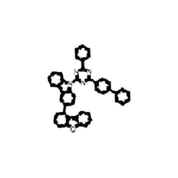 c1ccc(-c2ccc(-c3nc(-c4ccccc4)nc(-n4c5ccccc5c5cc(-c6cccc7oc8ccccc8c67)ccc54)n3)cc2)cc1